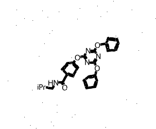 CC(C)CNC(=O)c1ccc(Oc2nc(Oc3ccccc3)nc(Oc3ccccc3)n2)cc1